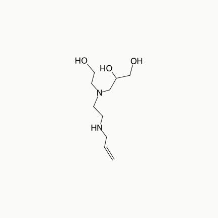 C=CCNCCN(CCO)CC(O)CO